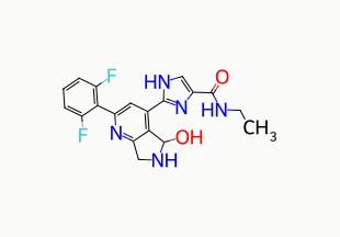 CCNC(=O)c1c[nH]c(-c2cc(-c3c(F)cccc3F)nc3c2C(O)NC3)n1